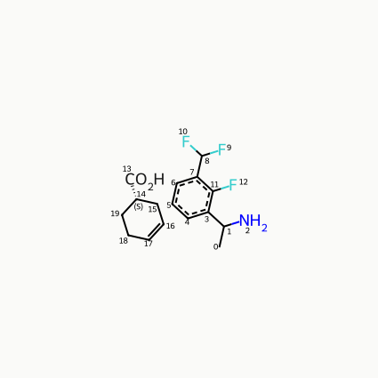 CC(N)c1cccc(C(F)F)c1F.O=C(O)[C@@H]1CC=CCC1